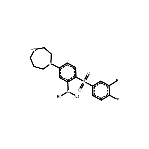 CCN(CC)c1cc(N2CCCNCC2)ccc1S(=O)(=O)c1ccc(F)c(F)c1